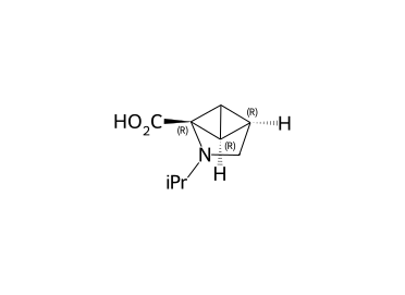 CC(C)N1C[C@@H]2C3[C@@H]2[C@@]31C(=O)O